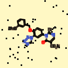 CCc1ncc(C(=O)O)c(=O)n1-c1ccc(OCc2cccc(OC)c2)c(-n2cnnn2)c1